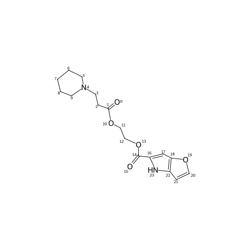 O=C(CCN1CCCCC1)OCCOC(=O)c1cc2occc2[nH]1